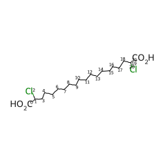 O=C(O)C(Cl)CCCCCCCCCCCCCCCCC(Cl)C(=O)O